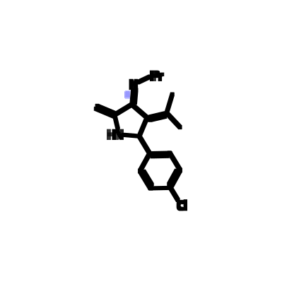 C=C1NC(c2ccc(Cl)cc2)C(=C(C)C)/C1=N\C(C)C